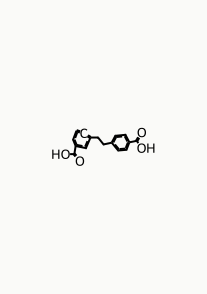 O=C(O)c1ccc(CCc2cccc(C(=O)O)c2)cc1